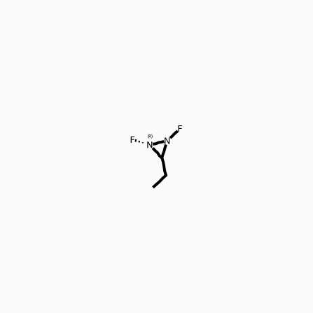 CCC1N(F)[N@@]1F